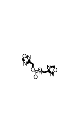 O=[PH](OCc1ncon1)OCc1ncon1